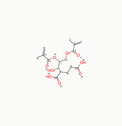 C=C(C)C(=O)OCC(CO)OC(=O)C(=C)C.O=C(O)CCCC(=O)O